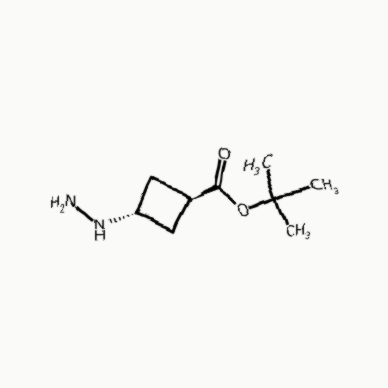 CC(C)(C)OC(=O)[C@H]1C[C@H](NN)C1